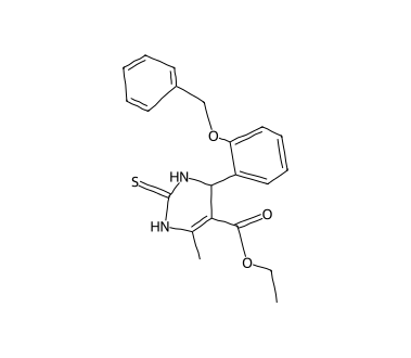 CCOC(=O)C1=C(C)NC(=S)NC1c1ccccc1OCc1ccccc1